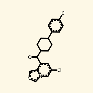 O=C(c1cc(Cl)cn2cncc12)C1CCC(c2ccc(Cl)cc2)CC1